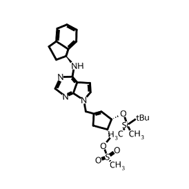 CC(C)(C)[Si](C)(C)O[C@H]1C=C(Cn2ccc3c(N[C@H]4CCc5ccccc54)ncnc32)C[C@H]1COS(C)(=O)=O